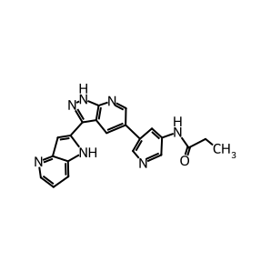 CCC(=O)Nc1cncc(-c2cnc3[nH]nc(-c4cc5ncccc5[nH]4)c3c2)c1